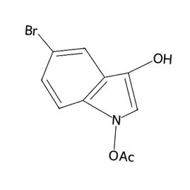 CC(=O)On1cc(O)c2cc(Br)ccc21